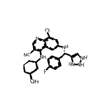 N#Cc1cnc2c(Cl)cc(N[C@H](C3=CNNN3)c3ccc(F)cc3)cc2c1NC1CCCC(O)C1